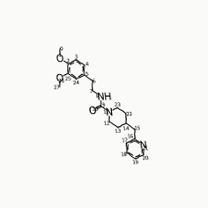 COc1ccc(CCNC(=O)N2CCC(Cc3ccccn3)CC2)cc1OC